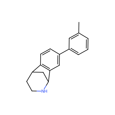 Cc1cccc(-c2ccc3c(c2)C2CC3CCN2)c1